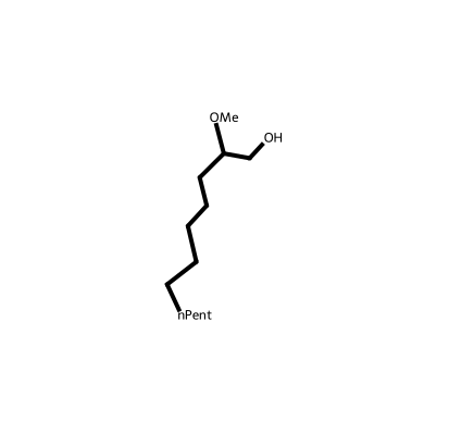 CCCCCCCCCCC(CO)OC